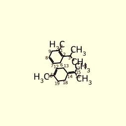 CC1=C(C(C)C)CC=CC1.CC1=CCC(=C(C)C)CC1